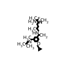 C=N/C(=C\C=C(/C)CNC(=C)c1cc(OCC2CC2)cc(/C(C)=N/C=C(C)C)c1)C(C)(N)F